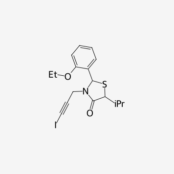 CCOc1ccccc1C1SC(C(C)C)C(=O)N1CC#CI